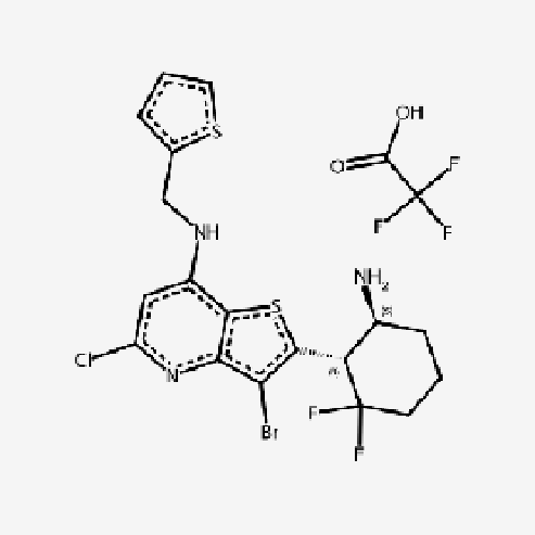 N[C@H]1CCCC(F)(F)[C@@H]1c1sc2c(NCc3cccs3)cc(Cl)nc2c1Br.O=C(O)C(F)(F)F